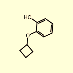 Oc1ccccc1OC1CCC1